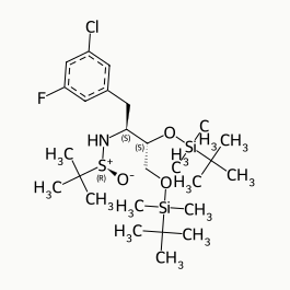 CC(C)(C)[S@+]([O-])N[C@@H](Cc1cc(F)cc(Cl)c1)[C@@H](CO[Si](C)(C)C(C)(C)C)O[Si](C)(C)C(C)(C)C